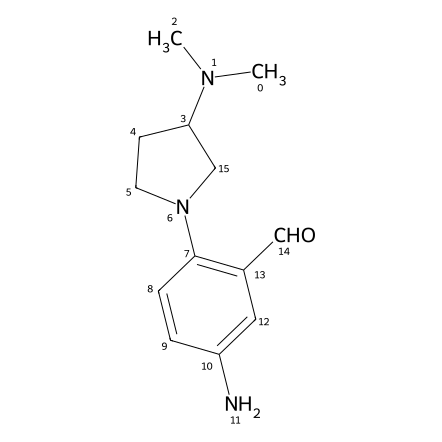 CN(C)C1CCN(c2ccc(N)cc2C=O)C1